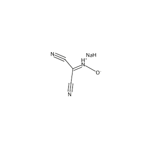 N#CC(C#N)=[NH+][O-].[NaH]